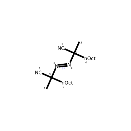 CCCCCCCCC(C)(C#N)/N=N/C(C)(C#N)CCCCCCCC